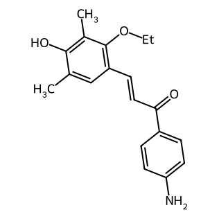 CCOc1c(C=CC(=O)c2ccc(N)cc2)cc(C)c(O)c1C